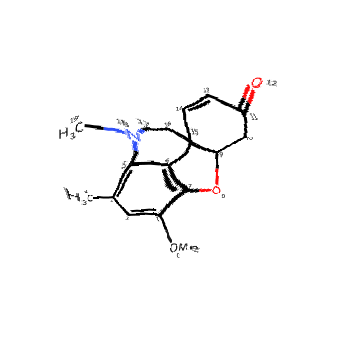 COc1cc(C)c2c3c1OC1CC(=O)C=CC31CCN2C